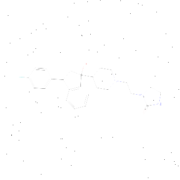 O=C1NCCN1CCN1CCC(C2(O)CC(c3ccc(F)cc3)c3ccc(F)cc32)CC1